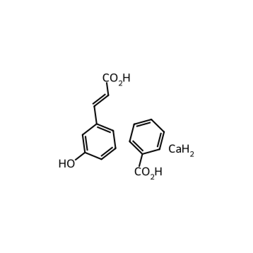 O=C(O)C=Cc1cccc(O)c1.O=C(O)c1ccccc1.[CaH2]